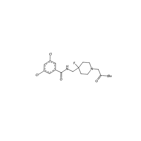 CC(C)(C)C(=O)CN1CCC(F)(CNC(=O)c2cc(Cl)cc(Cl)c2)CC1